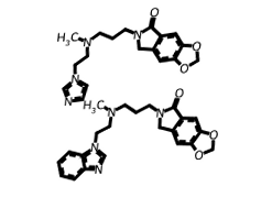 CN(CCCN1Cc2cc3c(cc2C1=O)OCO3)CCn1ccnc1.CN(CCCN1Cc2cc3c(cc2C1=O)OCO3)CCn1cnc2ccccc21